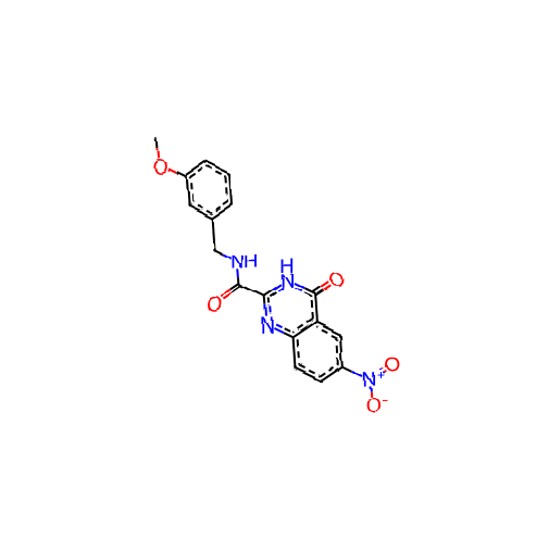 COc1cccc(CNC(=O)c2nc3ccc([N+](=O)[O-])cc3c(=O)[nH]2)c1